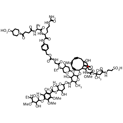 CCC(O)C(OC)C(O)C(O)Oc1c(I)c(C)c(C(=O)SC2C(O)CC(ONC3C(C)OC(O[C@H]4C#C/C=C\C#CC[C@]5(O)CC(=O)C(NC(=O)OC)C4/C5=C\CSSC(C)(C)CC(=O)NCCS(=O)(=O)O)C(OC4CC(OC)C(N(CC)C(=O)CNC(=O)OCc5ccc(NC(=O)[C@H](CCCNC(N)=O)NC(=O)[C@@H](NC(=O)CCC(=O)N6CCC(C(=O)O)CC6)C(C)C)cc5)CO4)C3O)OC2C)c(OC)c1OC